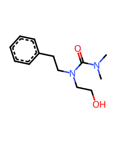 CN(C)C(=O)N(CCO)CCc1ccccc1